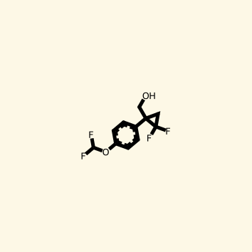 OCC1(c2ccc(OC(F)F)cc2)CC1(F)F